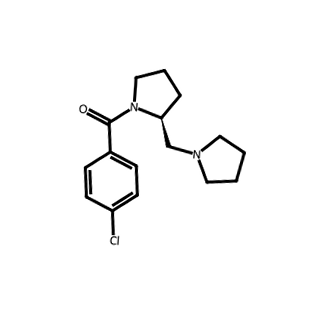 O=C(c1ccc(Cl)cc1)N1CCC[C@H]1CN1CCCC1